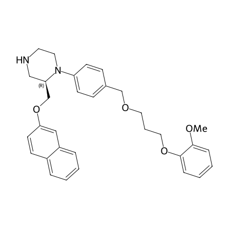 COc1ccccc1OCCCOCc1ccc(N2CCNC[C@@H]2COc2ccc3ccccc3c2)cc1